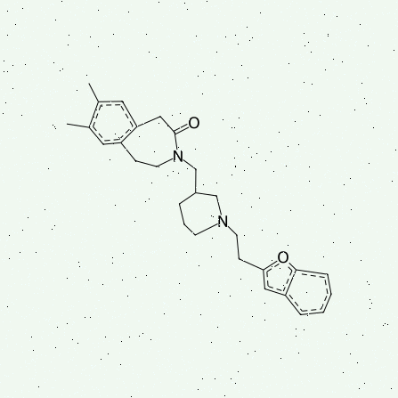 Cc1cc2c(cc1C)CC(=O)N(CC1CCCN(CCc3cc4ccccc4o3)C1)CC2